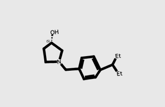 CCC(CC)c1ccc(CN2CC[C@H](O)C2)cc1